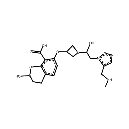 CNCc1cnnn1CC(O)N1CC(Oc2ccc3c(c2C(=O)O)OB(O)CC3)C1